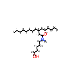 CCCCCCCCC(CCCCCC)CC(=O)N(C)CCCCCO